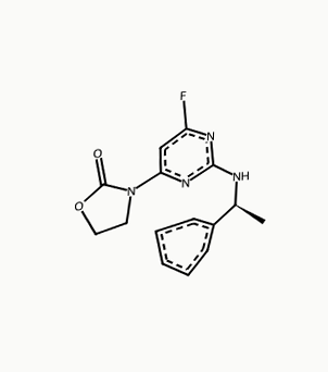 C[C@H](Nc1nc(F)cc(N2CCOC2=O)n1)c1ccccc1